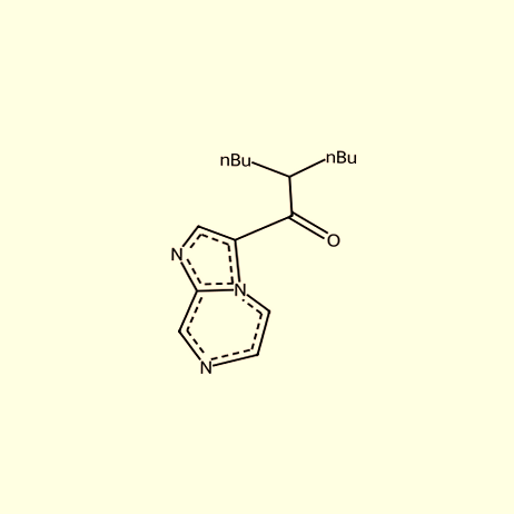 CCCCC(CCCC)C(=O)c1cnc2cnccn12